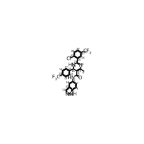 CC1=C(C(=O)Nc2ccc3[nH]ncc3c2)C(c2ccc(C(F)(F)F)cc2)NC(c2cc(C(F)(F)F)ccc2Cl)=N1